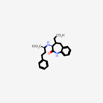 CCOC(=O)[C@H](CCc1ccccc1)N[C@@H]1C(=O)Nc2ccccc2CC1CC(=O)O